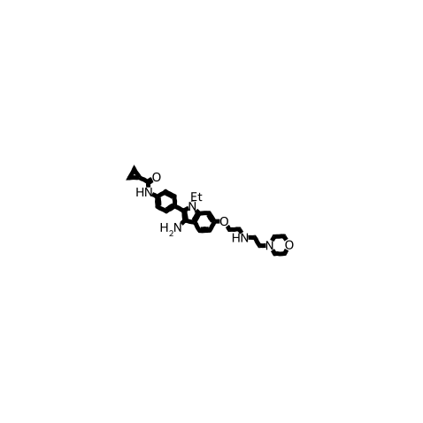 CCn1c(-c2ccc(NC(=O)C3CC3)cc2)c(N)c2ccc(OCCNCCN3CCOCC3)cc21